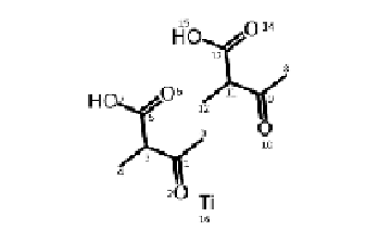 CC(=O)C(C)C(=O)O.CC(=O)C(C)C(=O)O.[Ti]